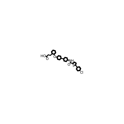 O=C(O)CCc1ccccc1Oc1ccc(-c2ccc(NC(=O)c3ccc(-c4ccc(Cl)cc4)s3)cc2)cc1